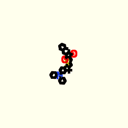 C=c1cccc/c1=C/C1=C(C)C(=O)/C(=C/c2cc3c(s2)-c2ccc(N(c4ccccc4)C4CC=CCC4)cc2C3(C)C)C1=O